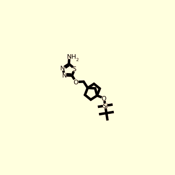 CC(C)(C)[Si](C)(C)OC12CCC(COc3nnc(N)s3)(CC1)C2